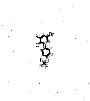 Cc1cc(Br)cn(-c2ccc(OC(F)(F)F)cc2)c1=O